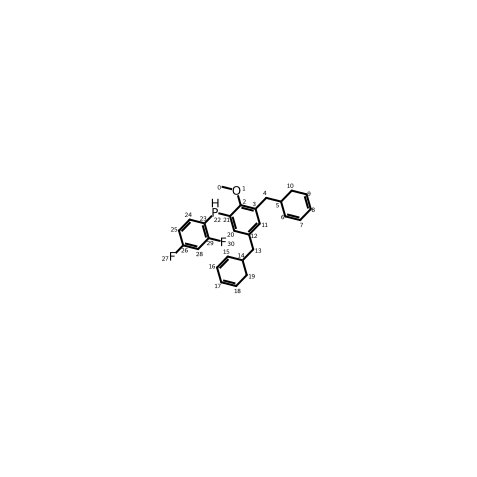 COc1c(CC2C=CC=CC2)cc(CC2C=CC=CC2)cc1Pc1ccc(F)cc1F